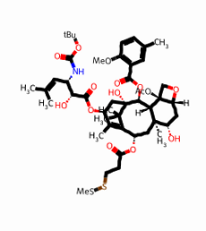 COc1ccc(C)cc1C(=O)O[C@H]1[C@H]2[C@](C)(C[C@H](OC(=O)CCSSC)C3=C(C)[C@@H](OC(=O)[C@H](O)[C@H](C=C(C)C)NC(=O)OC(C)(C)C)C[C@]1(O)C3(C)C)[C@@H](O)C[C@H]1OC[C@]12OC(C)=O